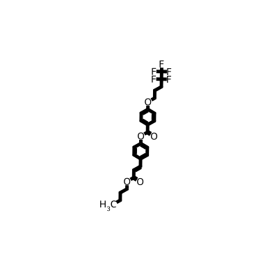 CCCCOC(=O)/C=C/c1ccc(OC(=O)c2ccc(OCCCC(F)(F)C(F)(F)F)cc2)cc1